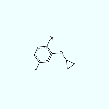 Fc1ccc(Br)c(OC2CC2)c1